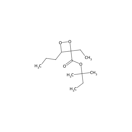 CCCC1OOC1(CC)C(=O)OC(C)(C)CC